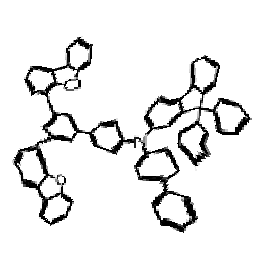 c1ccc(-c2ccc(N(c3ccc(-c4cc(-c5cccc6c5oc5ccccc56)cc(-c5cccc6c5oc5ccccc56)c4)cc3)c3ccc4c(c3)C(c3ccccc3)(c3ccccc3)c3ccccc3-4)cc2)cc1